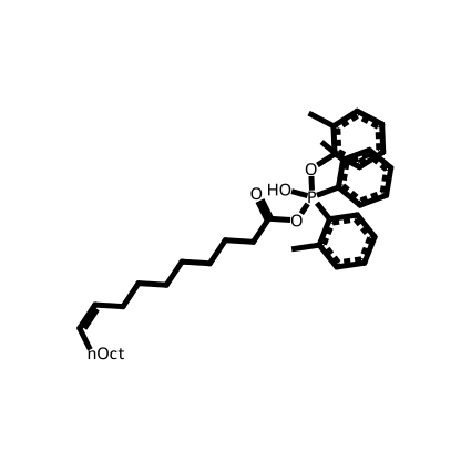 CCCCCCCC/C=C\CCCCCCCC(=O)OP(O)(Oc1ccccc1C)(c1ccccc1C)c1ccccc1C